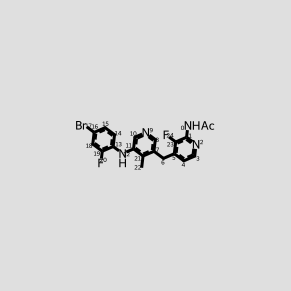 CC(=O)Nc1nccc(Cc2cncc(Nc3ccc(Br)cc3F)c2C)c1F